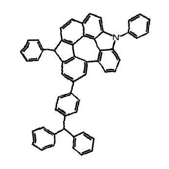 c1ccc(C(c2ccccc2)c2ccc(-c3cc4c5c(c3)C(c3ccccc3)c3ccc6ccc7c(c6c3-5)c3c-4cccc3n7-c3ccccc3)cc2)cc1